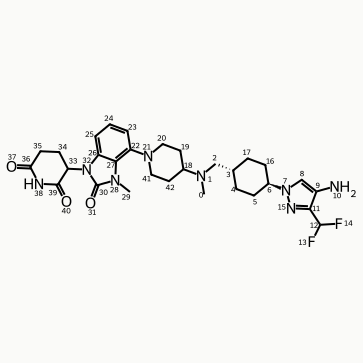 CN(C[C@H]1CC[C@H](n2cc(N)c(C(F)F)n2)CC1)C1CCN(c2cccc3c2n(C)c(=O)n3C2CCC(=O)NC2=O)CC1